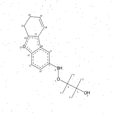 CC(C)(O)C(C)(C)OBc1ccc2oc3c(c2c1)C=CCC3